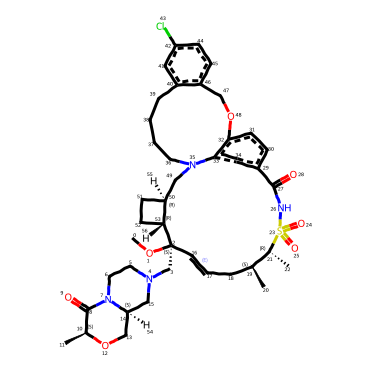 CO[C@]1(CN2CCN3C(=O)[C@H](C)OC[C@@H]3C2)/C=C/C[C@H](C)[C@@H](C)S(=O)(=O)NC(=O)c2ccc3c(c2)N(CCCCc2cc(Cl)ccc2CO3)C[C@@H]2CC[C@H]21